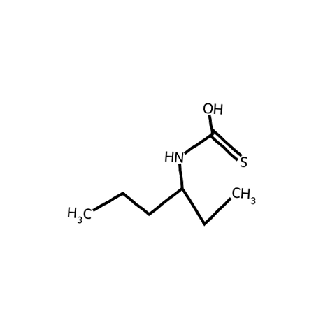 CCCC(CC)NC(O)=S